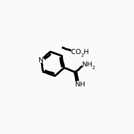 CC(=O)O.N=C(N)c1ccncc1